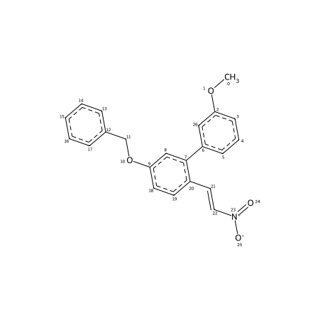 COc1cccc(-c2cc(OCc3ccccc3)ccc2C=C[N+](=O)[O-])c1